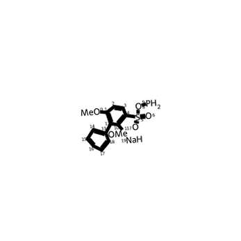 COc1ccc(S(=O)(=O)OP)c(OC)c1-c1ccccc1.[NaH]